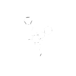 C=CCO[C@H]1[C@H](O)[C@@H](O)[C@H](OCc2ccccc2)[C@@H]2OC3(CCCCC3)O[C@@H]21